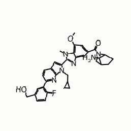 COc1cc(C(=O)N2CC3CCC2C3N)cc2nc(-c3cc4ccc(-c5cc(CO)ccc5F)nc4n3CC3CC3)n(C)c12